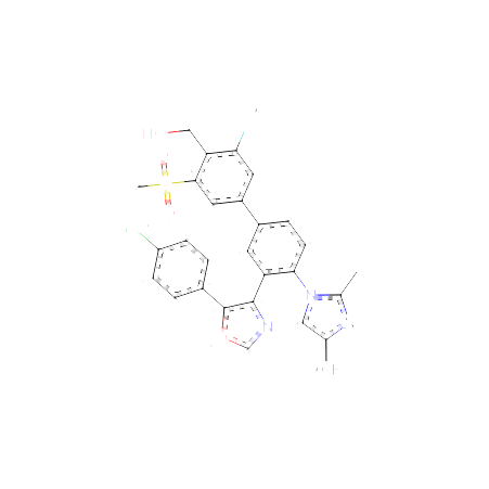 Cc1nc(C(F)(F)F)cn1-c1ccc(-c2cc(F)c(CO)c(S(C)(=O)=O)c2)cc1-c1ncoc1-c1ccc(Cl)cc1